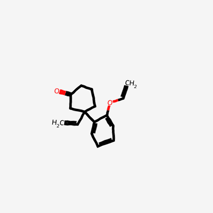 C=COc1ccccc1C1(C=C)CCCC(=O)C1